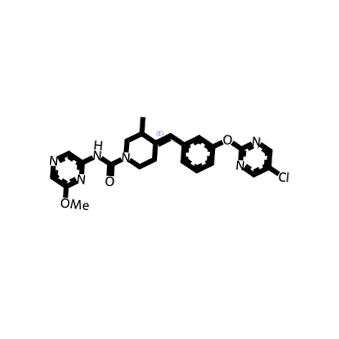 COc1cncc(NC(=O)N2CC/C(=C\c3cccc(Oc4ncc(Cl)cn4)c3)C(C)C2)n1